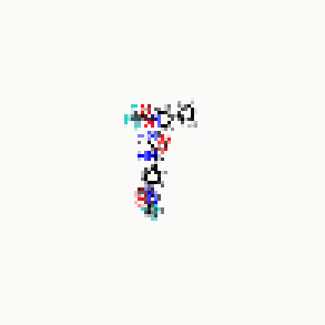 C[C@H](NC(=O)[C@H]1C[C@@H](c2ccccc2)CCN1OC(=O)C(F)(F)F)C(=O)NCc1ccc(N2N=C(C(F)(F)F)OO2)cc1